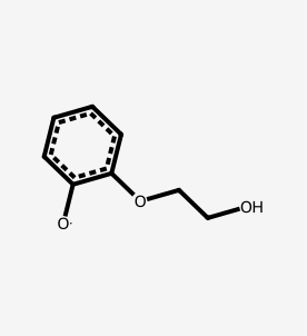 [O]c1ccccc1OCCO